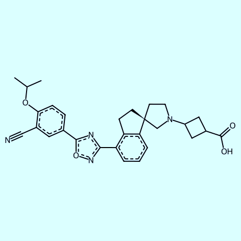 CC(C)Oc1ccc(-c2nc(-c3cccc4c3CC[C@]43CCN(C4CC(C(=O)O)C4)C3)no2)cc1C#N